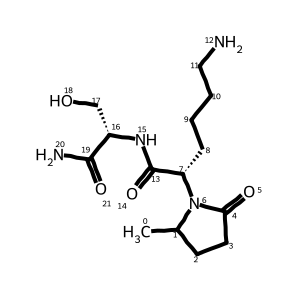 CC1CCC(=O)N1[C@@H](CCCCN)C(=O)N[C@@H](CO)C(N)=O